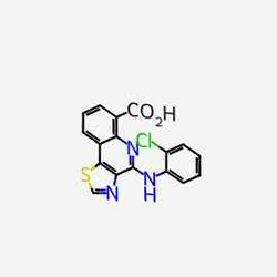 O=C(O)c1cccc2c1nc(Nc1ccccc1Cl)c1ncsc12